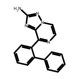 Nc1nc2c(-c3ccccc3-c3ccccc3)nccn2n1